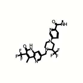 CNC(=O)c1ccc(N2CCN(Cc3cnc4c(C)c(C(F)(F)F)c(=O)[nH]c4c3)C(C(F)(F)F)C2)cn1